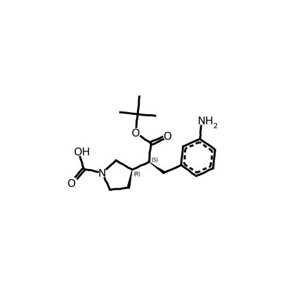 CC(C)(C)OC(=O)[C@@H](Cc1cccc(N)c1)[C@H]1CCN(C(=O)O)C1